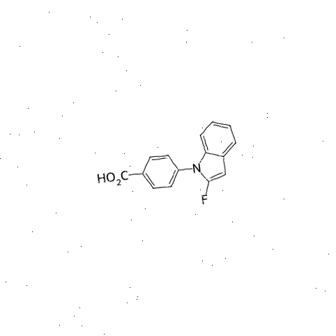 O=C(O)c1ccc(-n2c(F)cc3ccccc32)cc1